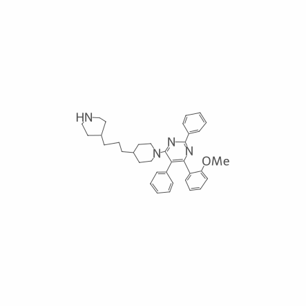 COc1ccccc1-c1nc(-c2ccccc2)nc(N2CCC(CCCC3CCNCC3)CC2)c1-c1ccccc1